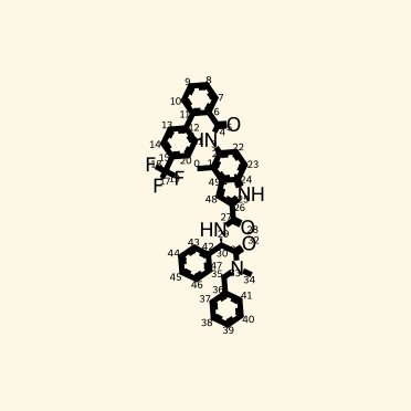 Cc1c(NC(=O)c2ccccc2-c2ccc(C(F)(F)F)cc2)ccc2[nH]c(C(=O)N[C@H](C(=O)N(C)Cc3ccccc3)c3ccccc3)cc12